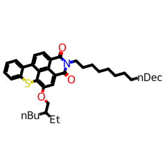 CCCCCCCCCCCCCCCCCCn1c(=O)c2ccc3c4ccccc4sc4c(OCC(CC)CCCC)cc(c1=O)c2c43